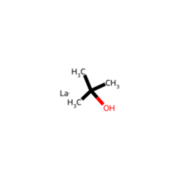 CC(C)(C)O.[La]